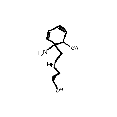 NC1(CNCCO)C=CC=CC1O